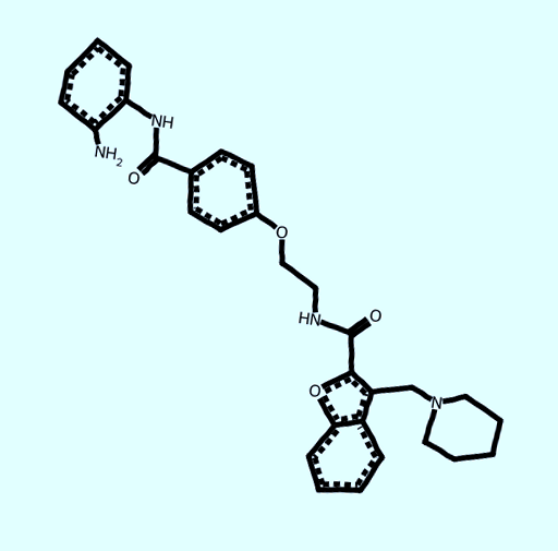 Nc1ccccc1NC(=O)c1ccc(OCCNC(=O)c2oc3ccccc3c2CN2CCCCC2)cc1